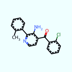 Cc1ccccc1-c1nccc(C(=O)c2ccccc2Cl)c1N